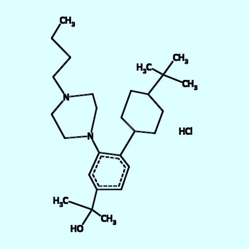 CCCCN1CCN(c2cc(C(C)(C)O)ccc2C2CCC(C(C)(C)C)CC2)CC1.Cl